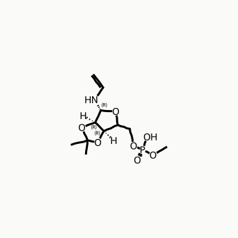 C=CN[C@@H]1OC(COP(=O)(O)OC)[C@H]2OC(C)(C)O[C@@H]12